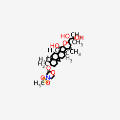 C[C@@H]1CC(C(O)C(C)(C)O)OC2C1C1(C)CCC34CC35CCC(O[C@H]3CN(S(C)(=O)=O)CCO3)C(C)(C)[C@@H]5CCC4[C@]1(C)[C@H]2O